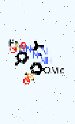 COc1cc(P(C)(C)=O)ccc1Nc1ncc(C)c(Nc2ccc(C)cc2S(=O)(=O)C(C)C)n1